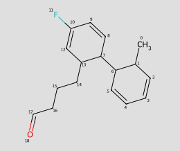 CC1C=CC=CC1C1C=CC(F)=CC1CCCC=O